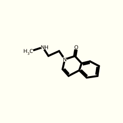 CNCCn1ccc2ccccc2c1=O